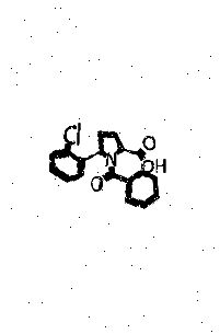 O=C(O)[C@@H]1CC[C@H](c2ccccc2Cl)N1C(=O)C1CCCCC1